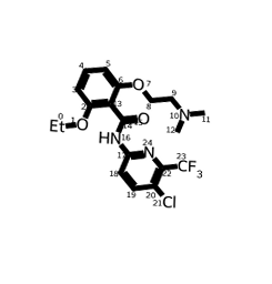 CCOc1cccc(OCCN(C)C)c1C(=O)Nc1ccc(Cl)c(C(F)(F)F)n1